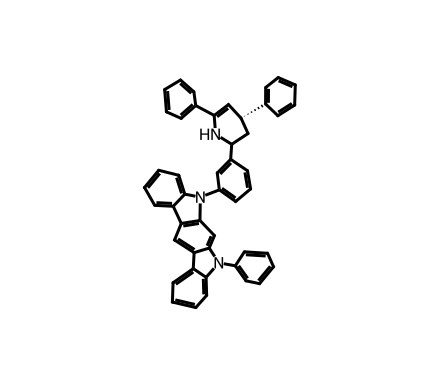 C1=C(c2ccccc2)NC(c2cccc(-n3c4ccccc4c4cc5c6ccccc6n(-c6ccccc6)c5cc43)c2)C[C@H]1c1ccccc1